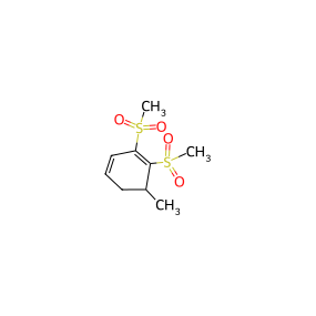 CC1CC=CC(S(C)(=O)=O)=C1S(C)(=O)=O